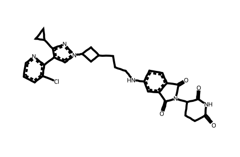 O=C1CCC(N2C(=O)c3ccc(NCCCC4CC(n5cc(-c6ncccc6Cl)c(C6CC6)n5)C4)cc3C2=O)C(=O)N1